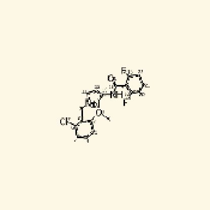 COc1cccc(Cl)c1Cn1ccc(NC(=O)c2c(F)cccc2F)n1